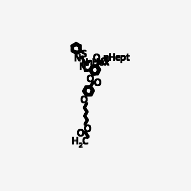 C=CC(=O)OCCCCCCOc1ccc(C(=O)Oc2ccc(C(=O)OCCCCCCC)cc2/C=N\N(CCCCCC)c2nc3ccccc3s2)cc1